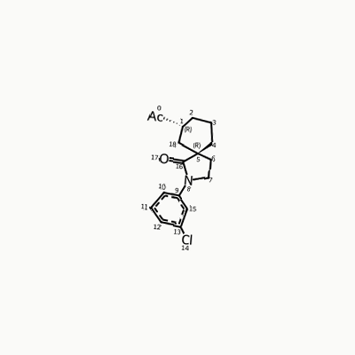 CC(=O)[C@@H]1CCC[C@]2(CCN(c3cccc(Cl)c3)C2=O)C1